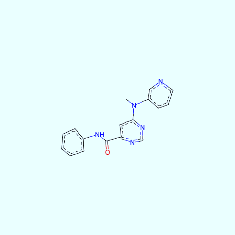 CN(c1cccnc1)c1cc(C(=O)Nc2ccccc2)ncn1